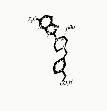 CCCC[C@@H]1CN(Cc2cccc(CC(=O)O)c2)CCN1c1nc2ccc(C(F)(F)F)nc2s1